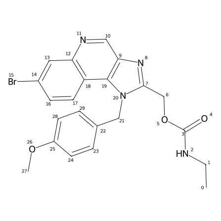 CCNC(=O)OCc1nc2cnc3cc(Br)ccc3c2n1Cc1ccc(OC)cc1